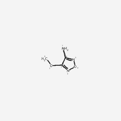 COc1nonc1N